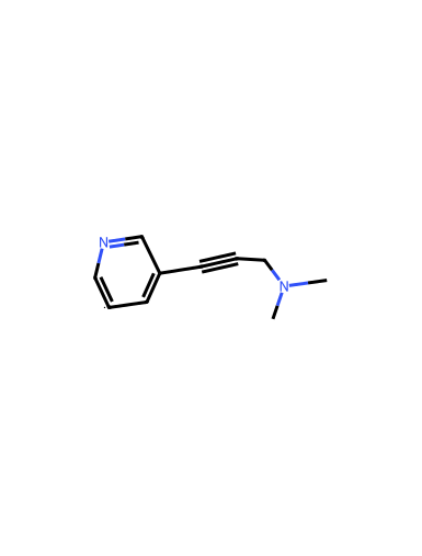 CN(C)CC#Cc1c[c]cnc1